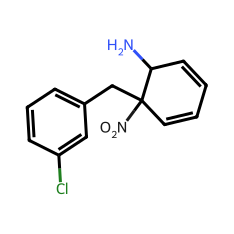 NC1C=CC=CC1(Cc1cccc(Cl)c1)[N+](=O)[O-]